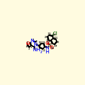 NC1c2ccoc2N=CN1c1ccc(NS(=O)(=O)c2cccc3c(Cl)cccc23)cc1